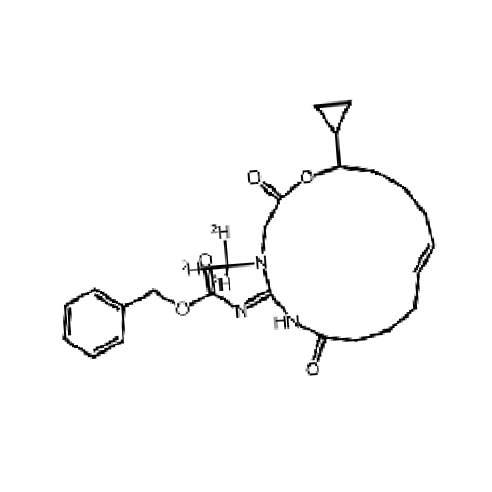 [2H]C([2H])([2H])N1CC(=O)OC(C2CC2)CCC/C=C/CCCC(=O)N/C1=N/C(=O)OCc1ccccc1